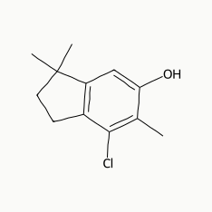 Cc1c(O)cc2c(c1Cl)CCC2(C)C